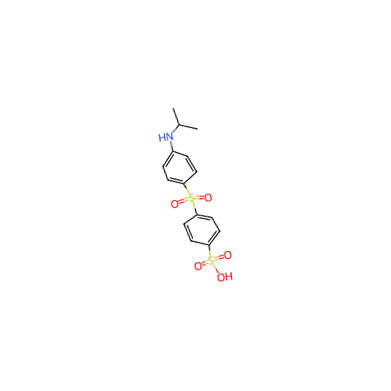 CC(C)Nc1ccc(S(=O)(=O)c2ccc(S(=O)(=O)O)cc2)cc1